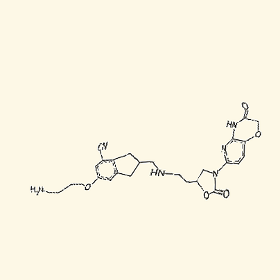 N#Cc1cc(OCCN)cc2c1CC(CNCCC1CN(c3ccc4c(n3)NC(=O)CO4)C(=O)O1)C2